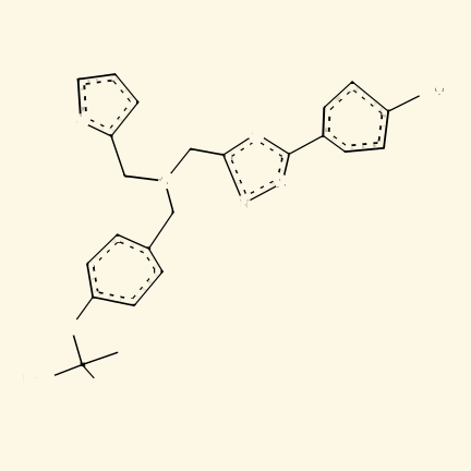 COc1ccc(-c2nnc(CN(Cc3ccc(SC(C)(C)C(=O)O)cc3)Cc3ccco3)o2)cc1